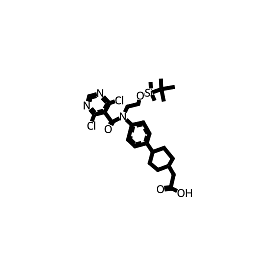 CC(C)(C)[Si](C)(C)OCCN(C(=O)c1c(Cl)ncnc1Cl)c1ccc(C2CCC(CC(=O)O)CC2)cc1